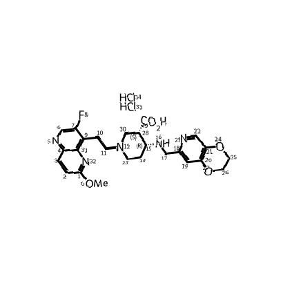 COc1ccc2ncc(F)c(CCN3CC[C@@H](NCc4cc5c(cn4)OCCO5)[C@@H](C(=O)O)C3)c2n1.Cl.Cl